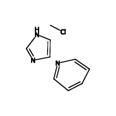 CCl.c1c[nH]cn1.c1ccncc1